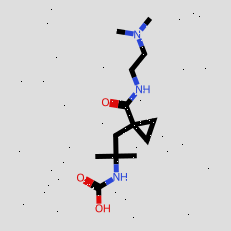 CN(C)CCNC(=O)C1(CC(C)(C)NC(=O)O)CC1